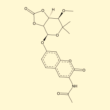 CO[C@@H]1[C@@H]2OC(=O)OC2[C@H](Oc2ccc3cc(NC(C)=O)c(=O)oc3c2)OC1(C)C